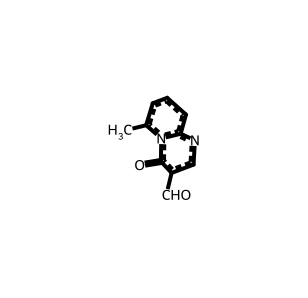 Cc1cccc2ncc(C=O)c(=O)n12